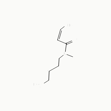 CN(CCCCC(=O)O)C(=O)/C=C\C=O